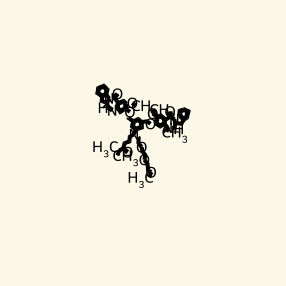 COCCOCCOCCN(CCCC(=O)C(C)C)c1cc(COc2cc3c(cc2OC)C(=O)N2c4ccccc4C[C@H]2C=N3)cc(COc2cc3c(cc2OC)C(=O)N2c4ccccc4C[C@H]2CN3C)c1